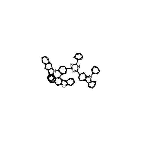 c1ccc(-c2nc(-c3ccc(-n4c5ccccc5c5cc6ccccc6cc54)c(-c4c5ccccc5cc5oc6ccccc6c45)c3)nc(-c3ccc4c5ccccc5n(-c5ccccc5)c4c3)n2)cc1